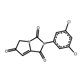 O=C1C=C2C(=O)N(c3cc(Cl)cc(Cl)c3)C(=O)N2C1